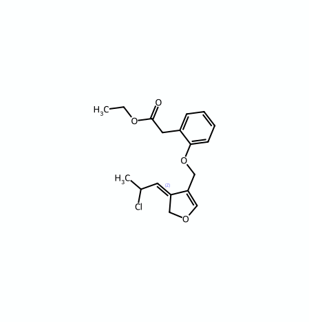 CCOC(=O)Cc1ccccc1OCC1=COC/C1=C\C(C)Cl